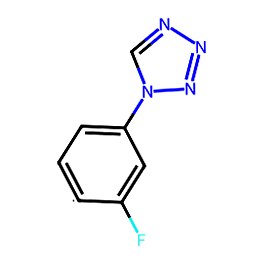 Fc1[c]ccc(-n2cnnn2)c1